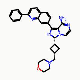 NC1=NC=CN2C1=C(c1ccc3ccc(-c4ccccc4)nc3c1)NC2[C@H]1C[C@H](CN2CCOCC2)C1